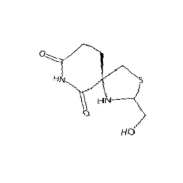 O=C1CC[C@]2(CSC(CO)N2)C(=O)N1